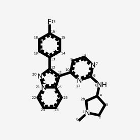 CN1CCC(Nc2nccc(-c3c(-c4ccc(F)cc4)nn4ccccc34)n2)C1